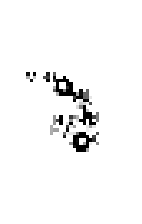 COc1ccc(-c2noc(-c3ncn(-c4c(C)cccc4C)c3C)n2)cc1